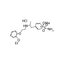 CCOc1ccccc1OCCNC(C)CC1=CC[C@@](OC)(S(N)(=O)=O)C=C1.Cl